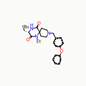 CCN1C(=O)[C@H](CC(C)(C)C)NC(=O)C12CCN(Cc1ccc(Oc3ccccc3)cc1)CC2